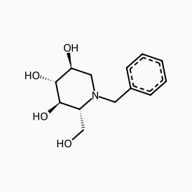 OC[C@@H]1[C@@H](O)[C@H](O)[C@@H](O)CN1Cc1ccccc1